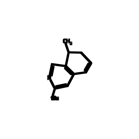 CC1CC=Cc2cc(C(C)(C)C)ncc21